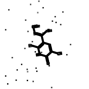 CCCCC(=NOC)c1cc(C#N)c(=O)[nH]c1CC